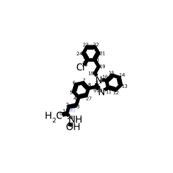 C=C(/C=C/c1cccc(-c2nc3ccccc3n2CCc2ccccc2Cl)c1)NO